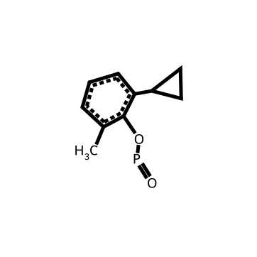 Cc1cccc(C2CC2)c1OP=O